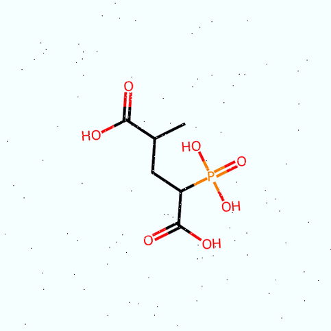 CC(CC(C(=O)O)P(=O)(O)O)C(=O)O